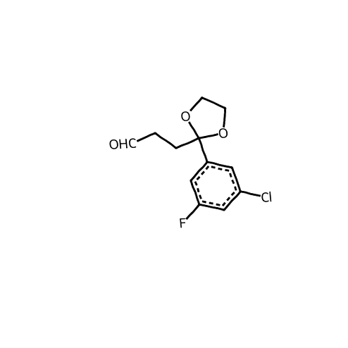 O=CCCC1(c2cc(F)cc(Cl)c2)OCCO1